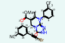 COC(=O)C1=C(C)N(c2cccc(C(F)(F)F)c2)c2n[nH]c(=O)n2[C@@H]1c1ccc(C#N)cc1C#CBr